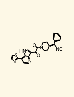 [C-]#[N+]C(=C1CCN(C(=O)C(=O)c2c[nH]c3c(-c4nccs4)ccnc23)CC1)c1ccccc1